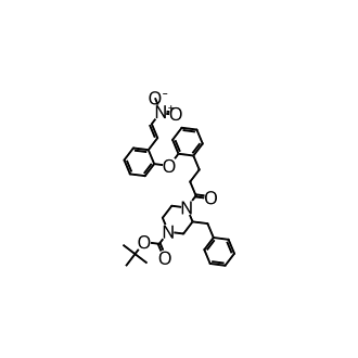 CC(C)(C)OC(=O)N1CCN(C(=O)CCc2ccccc2Oc2ccccc2/C=C/[N+](=O)[O-])C(Cc2ccccc2)C1